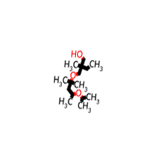 CCC(C)(CO)COC(C)(C)CC(C)OC(C)C